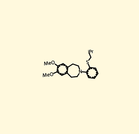 COc1cc2c(cc1OC)CCN(c1ccccc1SCC(C)C)CC2